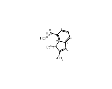 CCn1c(C)nc2cccc(N)c21.Cl